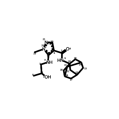 CC(O)CNc1c(C(=O)NC23CC4CC(CC(C4)C2)C3)cnn1C